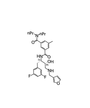 CCCN(CCC)C(=O)c1cc(C)cc(C(=O)N[C@@H](Cc2cc(F)cc(F)c2)[C@H](O)CNCc2ccoc2)c1